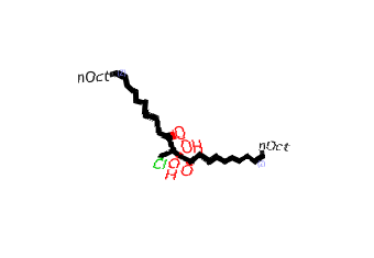 CCCCCCCC/C=C\CCCCCCCC(=O)C(CCl)C(O)(O)C(=O)CCCCCCC/C=C\CCCCCCCC